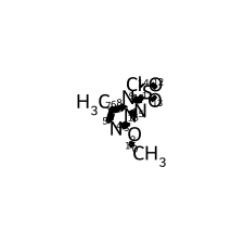 CCOc1ncc(C)c2nc(S(=O)(=O)Cl)nn12